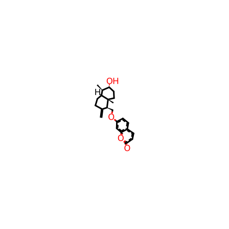 C=C1CC[C@@H]2[C@@H](C)[C@H](O)CC[C@]2(C)[C@H]1COc1ccc2ccc(=O)oc2c1